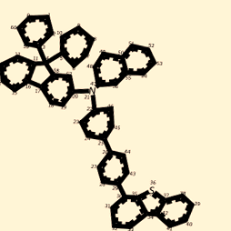 c1ccc(C2(c3ccccc3)c3ccccc3-c3ccc(N(c4ccc(-c5ccc(-c6cccc7c6sc6ccccc67)cc5)cc4)c4ccc5ccccc5c4)cc32)cc1